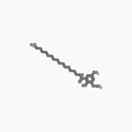 CCCCCCCCCCCCOCCCNC(=O)c1cc(N)cc(OC)c1O